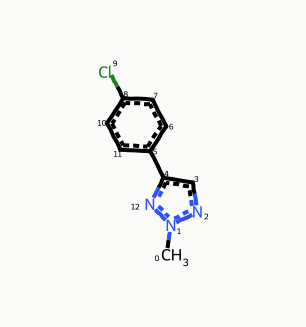 Cn1ncc(-c2ccc(Cl)cc2)n1